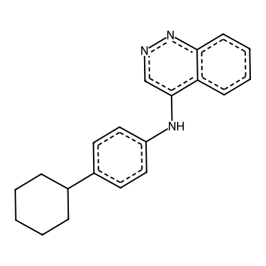 c1ccc2c(Nc3ccc(C4CCCCC4)cc3)cnnc2c1